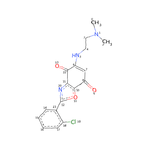 CN(C)CCNC1=CC(=O)c2oc(-c3ccccc3Cl)nc2C1=O